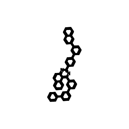 c1ccc(-c2cccc(-c3cccc(-c4nc(-c5ccc(-c6cccc(-c7ccc8ccccc8c7)c6)cc5)nc5ccc6ccccc6c45)c3)c2)cc1